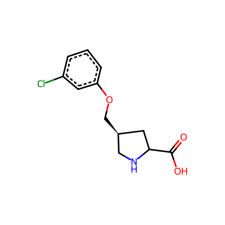 O=C(O)C1C[C@H](COc2cccc(Cl)c2)CN1